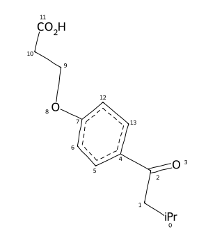 CC(C)CC(=O)c1ccc(OCCC(=O)O)cc1